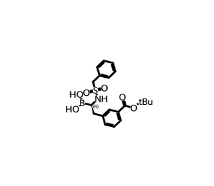 CC(C)(C)OC(=O)c1cccc(C[C@H](NS(=O)(=O)Cc2ccccc2)B(O)O)c1